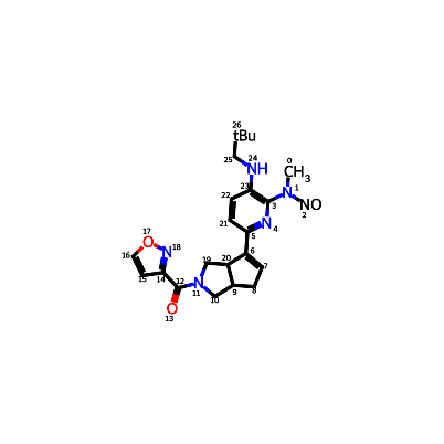 CN(N=O)c1nc(C2=CCC3CN(C(=O)c4ccon4)CC23)ccc1NCC(C)(C)C